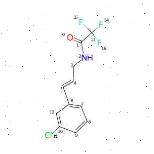 O=C(NCC=Cc1cccc(Cl)c1)C(F)(F)F